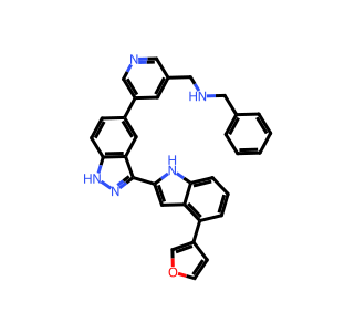 c1ccc(CNCc2cncc(-c3ccc4[nH]nc(-c5cc6c(-c7ccoc7)cccc6[nH]5)c4c3)c2)cc1